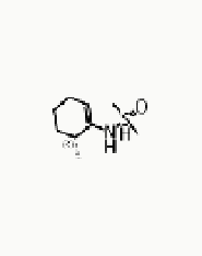 C[C@@H]1CCCC=C1N[SH](C)(C)=O